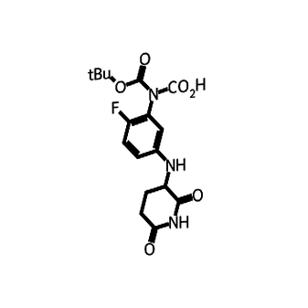 CC(C)(C)OC(=O)N(C(=O)O)c1cc(NC2CCC(=O)NC2=O)ccc1F